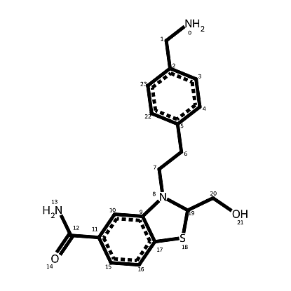 NCc1ccc(CCN2c3cc(C(N)=O)ccc3SC2CO)cc1